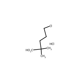 CC(C)(CCCCl)C(=O)O.Cl